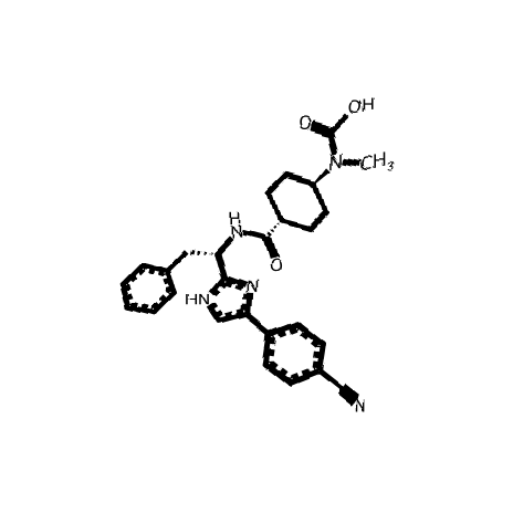 CN(C(=O)O)[C@H]1CC[C@H](C(=O)N[C@@H](Cc2ccccc2)c2nc(-c3ccc(C#N)cc3)c[nH]2)CC1